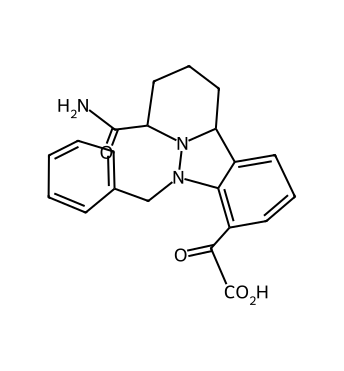 NC(=O)C1CCCC2c3cccc(C(=O)C(=O)O)c3N(Cc3ccccc3)N12